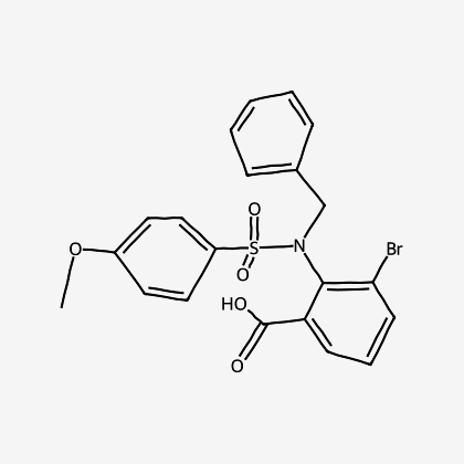 COc1ccc(S(=O)(=O)N(Cc2ccccc2)c2c(Br)cccc2C(=O)O)cc1